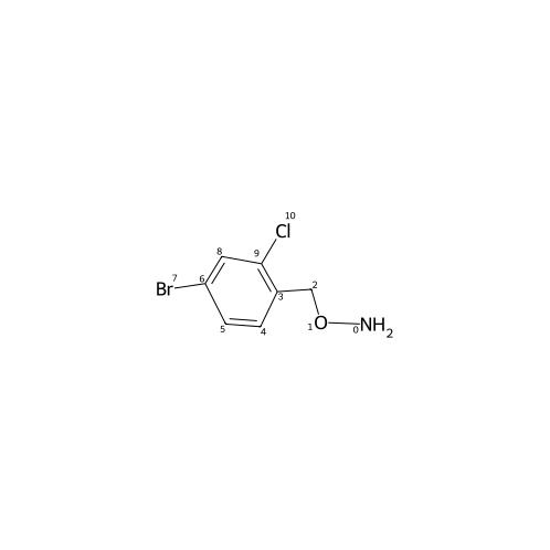 NOCc1ccc(Br)cc1Cl